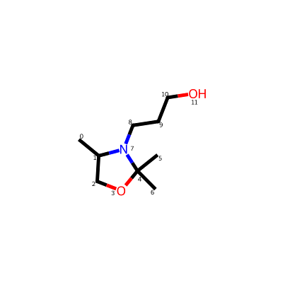 CC1COC(C)(C)N1CCCO